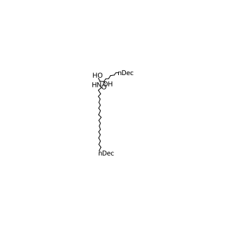 CCCCCCCCCCCCCCCCCCCCCCCCCCCCCCCC(=O)NC(CO)C(O)CCCCCCCCCCCCCCC